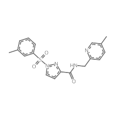 Cc1ccc(CNC(=O)c2ccn(S(=O)(=O)c3cccc(C)c3)n2)nc1